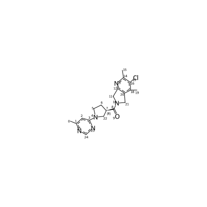 Cc1cc(N2CC[C@@H](C(=O)N3Cc4nc(C)c(Cl)c(C)c4C3)C2)ncn1